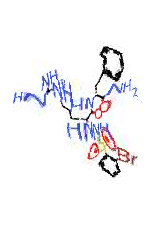 N=C(N)NCCC[C@H](NNS(=O)(=O)c1ccccc1Br)C(=O)N[C@@H](Cc1ccccc1)C(N)=O